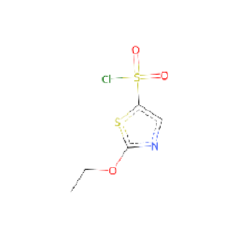 CCOc1ncc(S(=O)(=O)Cl)s1